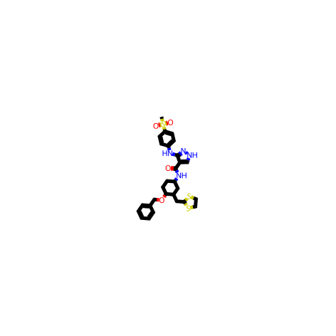 CS(=O)(=O)c1ccc(Nc2n[nH]cc2C(=O)NC2CCC(OCc3ccccc3)C(CC3SCCS3)C2)cc1